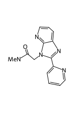 CNC(=O)Cn1c(-c2ccccn2)nc2cccnc21